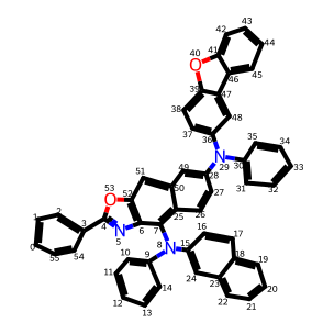 c1ccc(-c2nc3c(N(c4ccccc4)c4ccc5ccccc5c4)c4ccc(N(c5ccccc5)c5ccc6oc7ccccc7c6c5)cc4cc3o2)cc1